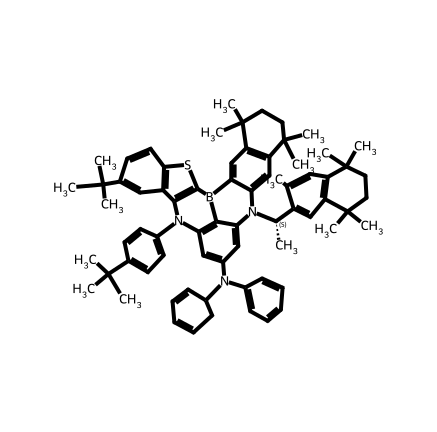 Cc1cc2c(cc1[C@H](C)N1c3cc4c(cc3B3c5sc6ccc(C(C)(C)C)cc6c5N(c5ccc(C(C)(C)C)cc5)c5cc(N(c6ccccc6)C6C=CC=CC6)cc1c53)C(C)(C)CCC4(C)C)C(C)(C)CCC2(C)C